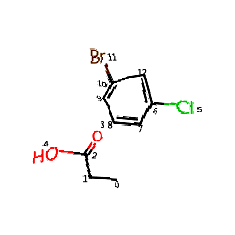 CCC(=O)O.Clc1cccc(Br)c1